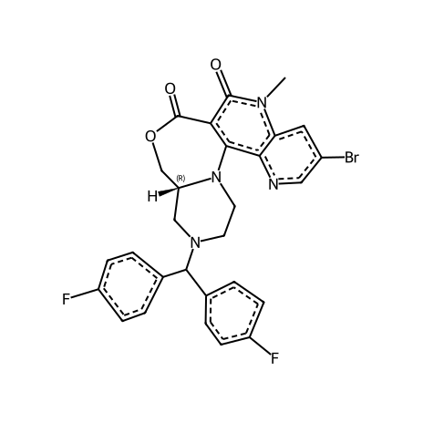 Cn1c(=O)c2c(c3ncc(Br)cc31)N1CCN(C(c3ccc(F)cc3)c3ccc(F)cc3)C[C@@H]1COC2=O